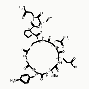 CC[C@H](C)[C@@H]1NC(=O)[C@H](Cc2ccc(N)cc2)NC(=O)CNC(=O)CC[C@@H](C(=O)N2CCC[C@H]2C(=O)N[C@@H](CC(C)C)C(=O)NCC(N)=O)NC(=O)[C@H](CC(N)=O)NC(=O)[C@H](CCC(N)=O)NC1=O